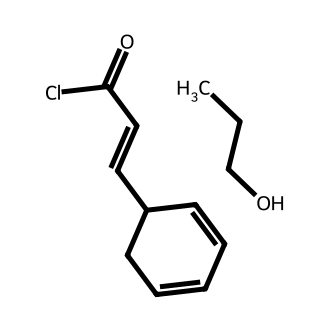 CCCO.O=C(Cl)C=CC1C=CC=CC1